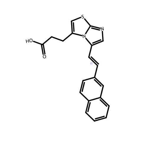 O=C(O)CCc1csc2ncc(/C=C/c3ccc4ccccc4c3)n12